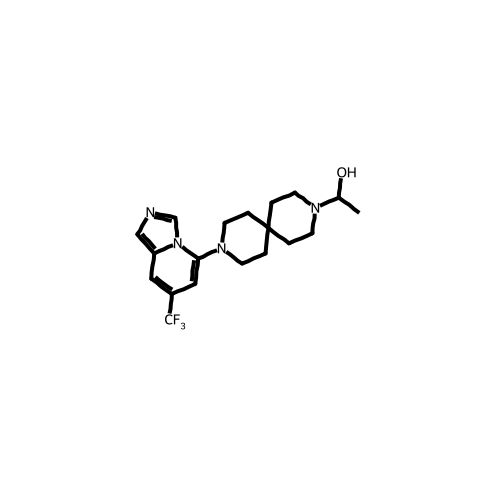 CC(O)N1CCC2(CCN(c3cc(C(F)(F)F)cc4cncn34)CC2)CC1